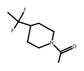 CC(=O)N1CCC(C(C)(F)F)CC1